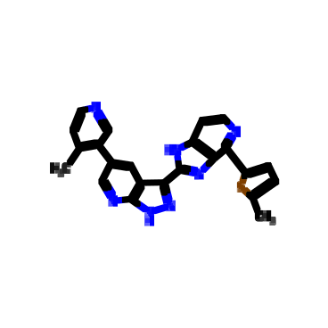 Cc1ccc(-c2nccc3[nH]c(-c4n[nH]c5ncc(-c6cnccc6C)cc45)nc23)s1